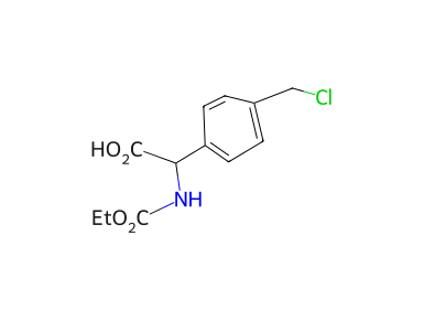 CCOC(=O)NC(C(=O)O)c1ccc(CCl)cc1